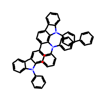 c1ccc(-c2ccc(N(c3ccccc3)c3c(-c4ccc5c(c4)c4ccccc4n5-c4ccccc4)ccc4c5ccccc5n(-c5ccccc5)c34)cc2)cc1